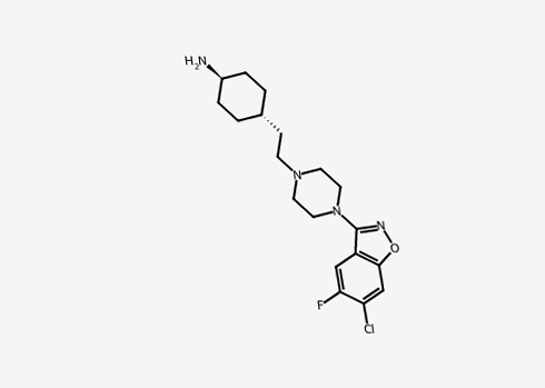 N[C@H]1CC[C@H](CCN2CCN(c3noc4cc(Cl)c(F)cc34)CC2)CC1